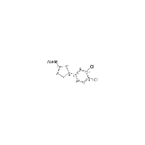 CNC1CCC(c2ccc(Cl)c(Cl)c2)C1